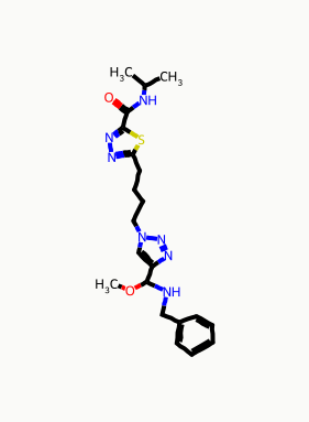 COC(NCc1ccccc1)c1cn(CCCCc2nnc(C(=O)NC(C)C)s2)nn1